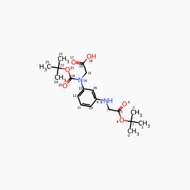 CC(C)(C)OC(=O)CNc1cccc(N(CC(=O)O)C(=O)OC(C)(C)C)c1